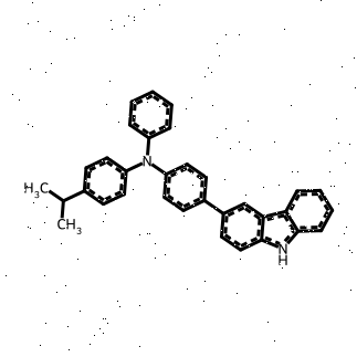 CC(C)c1ccc(N(c2ccccc2)c2ccc(-c3ccc4[nH]c5ccccc5c4c3)cc2)cc1